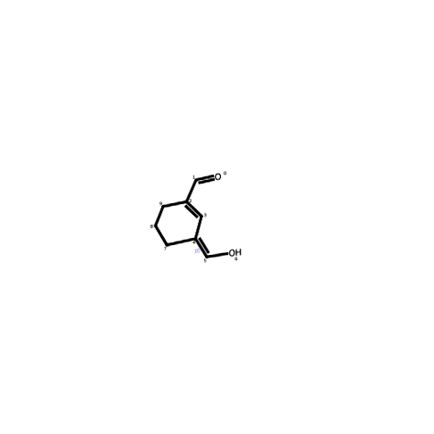 O=CC1=C/C(=C\O)CCC1